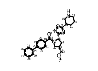 CON=C1C[C@@H](c2noc([C@@H]3CCCNC3)n2)N(C(=O)c2ccc(-c3ccccc3)cc2)C1